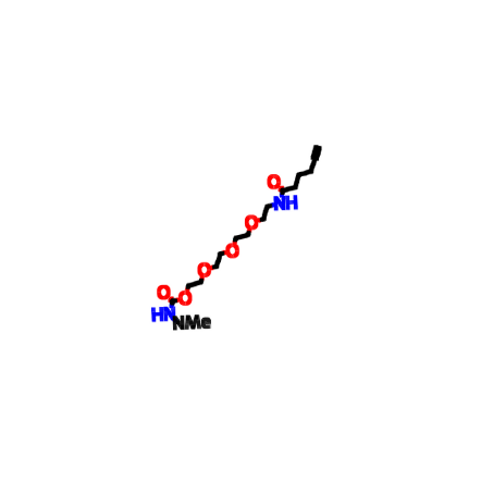 C#CCCCC(=O)NCCOCCOCCOCCOC(=O)NNC